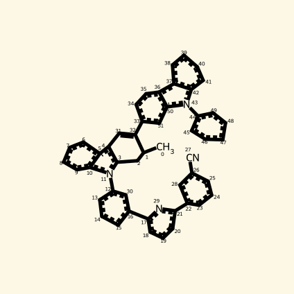 CC1Cc2c(c3ccccc3n2-c2cccc(-c3cccc(-c4cccc(C#N)c4)n3)c2)C=C1c1ccc2c3ccccc3n(-c3ccccc3)c2c1